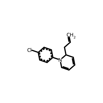 C=CCC1C=CC=CN1c1ccc(Cl)cc1